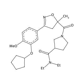 CCN(CC)C(=O)C1CCN(C(=O)C2(C)CC(c3ccc(OC)c(OC4CCCC4)c3)=NO2)C1